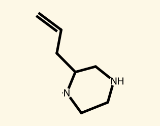 C=CCC1CNCC[N]1